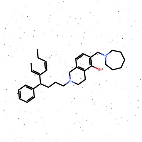 C/C=C(\C=C/CC)C(CCCN1CCc2c(ccc(CN3CCCCCC3)c2O)C1)c1ccccc1